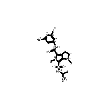 CC(NS(=O)(=O)c1c2c(c(C(=O)Nc3cc(F)nc(C#N)c3)n1C)CCN2C)C(F)(F)F